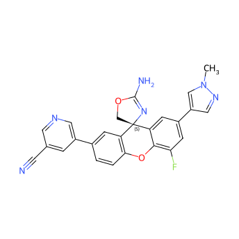 Cn1cc(-c2cc(F)c3c(c2)[C@]2(COC(N)=N2)c2cc(-c4cncc(C#N)c4)ccc2O3)cn1